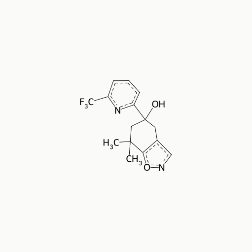 CC1(C)CC(O)(c2cccc(C(F)(F)F)n2)Cc2cnoc21